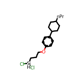 CCCC1CCC(c2ccc(OCCC[SiH](Cl)Cl)cc2)CC1